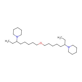 CCC(CCCCCOCCCCCC(CC)N1CCCCC1)N1CCCCC1